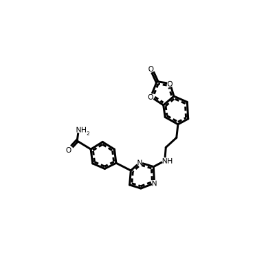 NC(=O)c1ccc(-c2ccnc(NCCc3ccc4oc(=O)oc4c3)n2)cc1